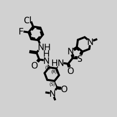 C=C(Nc1ccc(Cl)c(F)c1)C(=O)N[C@H]1CC[C@H](C(=O)N(C)C)C[C@H]1NC(=O)c1nc2c(s1)CN(C)CC2